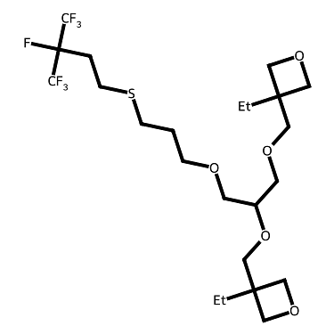 CCC1(COCC(COCCCSCCC(F)(C(F)(F)F)C(F)(F)F)OCC2(CC)COC2)COC1